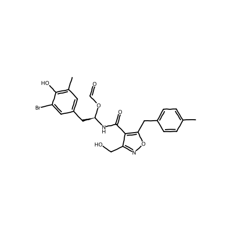 Cc1ccc(Cc2onc(CO)c2C(=O)N[C@@H](Cc2cc(C)c(O)c(Br)c2)OC=O)cc1